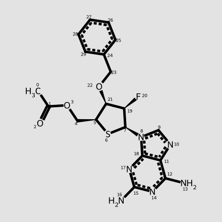 CC(=O)OC[C@@H]1S[C@H](n2cnc3c(N)nc(N)nc32)[C@H](F)[C@@H]1OCc1ccccc1